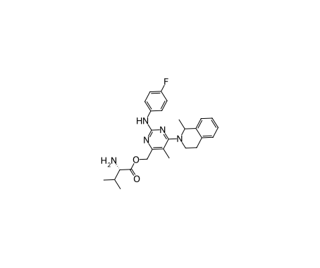 Cc1c(COC(=O)[C@@H](N)C(C)C)nc(Nc2ccc(F)cc2)nc1N1CCc2ccccc2C1C